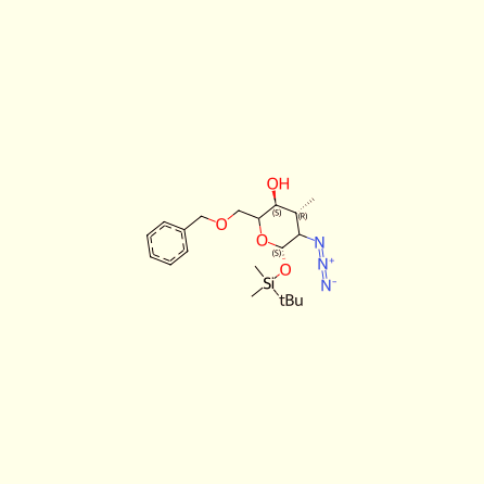 C[C@@H]1C(N=[N+]=[N-])[C@H](O[Si](C)(C)C(C)(C)C)OC(COCc2ccccc2)[C@H]1O